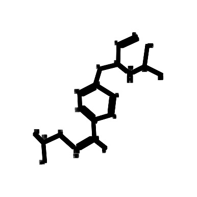 C=CC(Cc1ccc(/C(C)=N\CC(C)C)cc1)NC(C)C